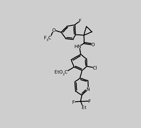 CCOC(=O)c1cc(NC(=O)C2(c3ccc(OC(F)(F)F)cc3F)CC2)cc(Cl)c1-c1ccc(C(F)(F)CC)nc1